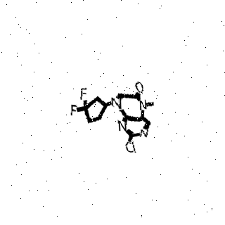 CN1C(=O)CN(C2CCC(F)(F)C2)c2nc(Cl)ncc21